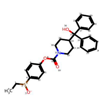 CC[S+]([O-])c1ccc(OC(=O)N2CCC(C(O)(c3ccccc3)c3ccccc3)CC2)cc1